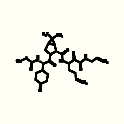 C=CCCC(NC(=O)[C@@H]1C2C(CN1C(=O)[C@@H](NC(=O)OC(C)(C)C)C1CCC(=O)CC1)C2(C)C)C(=O)C(=O)NCC=C